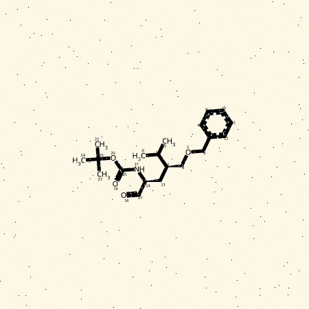 CC(C)[C@@H](COCc1ccccc1)C[C@@H](C=O)NC(=O)OC(C)(C)C